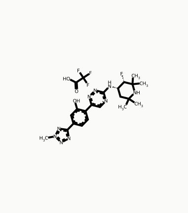 Cn1nnc(-c2ccc(-c3cnc(N[C@H]4CC(C)(C)NC(C)(C)[C@H]4F)nn3)c(O)c2)n1.O=C(O)C(F)(F)F